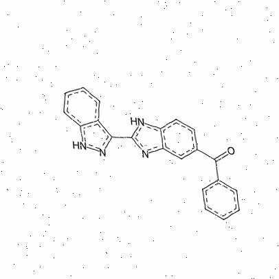 O=C(c1ccccc1)c1ccc2[nH]c(-c3n[nH]c4ccccc34)nc2c1